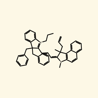 C=CCC1(C)/C(=C\C=C\C2=[N+](CCC)c3ccccc3C2(Cc2ccccc2)Cc2ccccc2)N(C)c2ccc3ccccc3c21